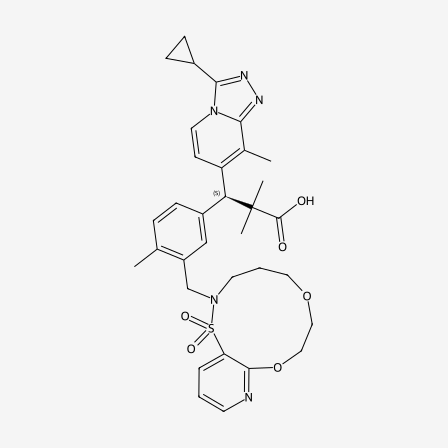 Cc1ccc([C@@H](c2ccn3c(C4CC4)nnc3c2C)C(C)(C)C(=O)O)cc1CN1CCCOCCOc2ncccc2S1(=O)=O